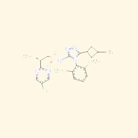 COc1cccc(OC)c1-n1c(NS(=O)(=O)[C@@H](C)[C@H](OC)c2ncc(Cl)cn2)nnc1C1CC(C#N)C1